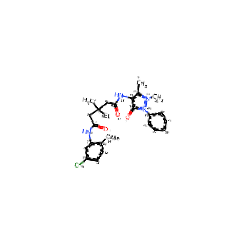 CCC(C)(CC(=O)Nc1cc(Cl)ccc1OC)CC(=O)Nc1c(C)n(C)n(-c2ccccc2)c1=O